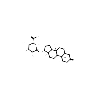 C[C@]12CCC(=O)C[C@@H]1CC[C@@H]1[C@@H]2CC[C@]2(C)[C@@H](OC3O[C@H](C(=O)O)[C@@H](O)[C@H](O)[C@H]3O)CC[C@@H]12